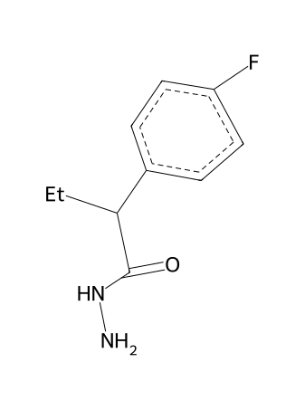 CCC(C(=O)NN)c1ccc(F)cc1